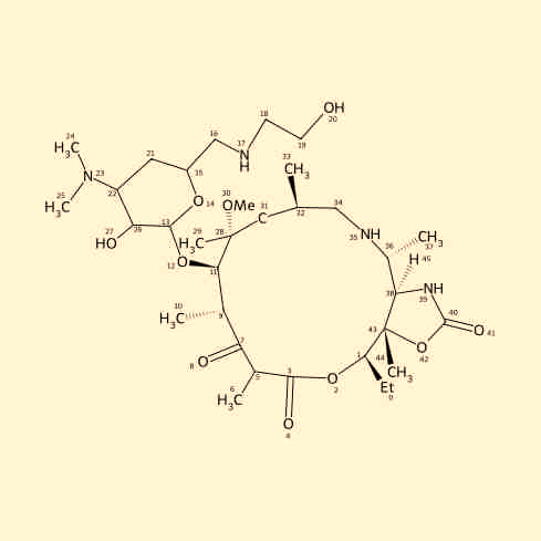 CC[C@H]1OC(=O)C(C)C(=O)[C@H](C)[C@@H](OC2OC(CNCCO)CC(N(C)C)C2O)[C@](C)(OC)C[C@@H](C)CN[C@H](C)[C@H]2NC(=O)O[C@@]21C